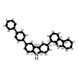 c1ccc(-c2ccc(-c3ccc4[nH]c5ccc(-c6cccc7c6sc6ccccc67)cc5c4c3)cc2)cc1